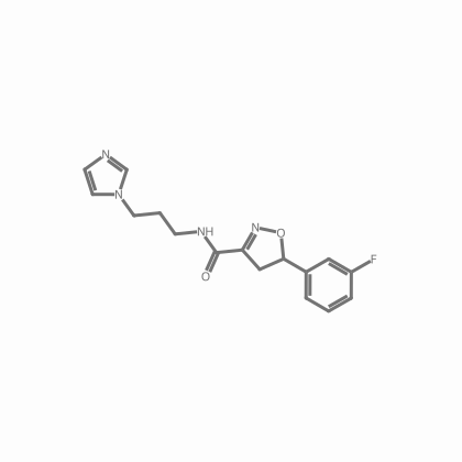 O=C(NCCCn1ccnc1)C1=NOC(c2cccc(F)c2)C1